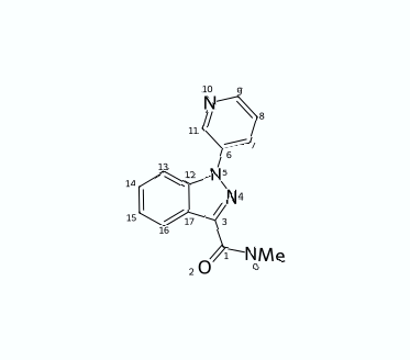 CNC(=O)c1nn(-c2cccnc2)c2ccccc12